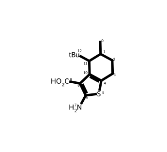 CC1CCc2sc(N)c(C(=O)O)c2C1C(C)(C)C